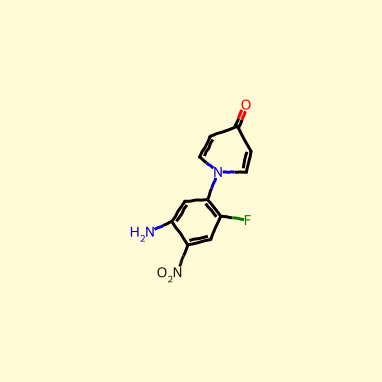 Nc1cc(-n2ccc(=O)cc2)c(F)cc1[N+](=O)[O-]